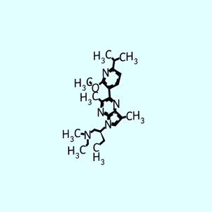 CC[C@@H](CN(C)CC)n1cc(C)c2nc(-c3ccc(C(C)C)nc3OC)c(C)nc21